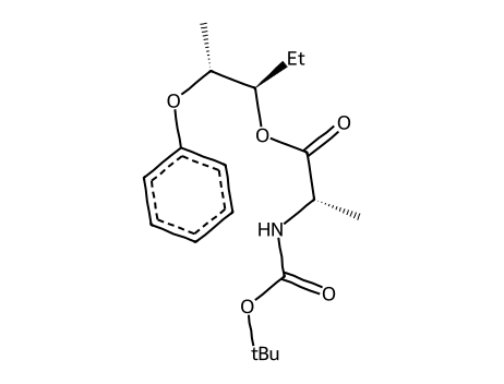 CC[C@@H](OC(=O)[C@H](C)NC(=O)OC(C)(C)C)[C@@H](C)Oc1ccccc1